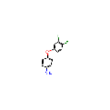 Nc1ccc(Oc2ccc(F)c(F)c2)cc1